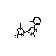 Cc1nc(-c2nc(=O)o[nH]2)cc(-c2ccccc2C)n1